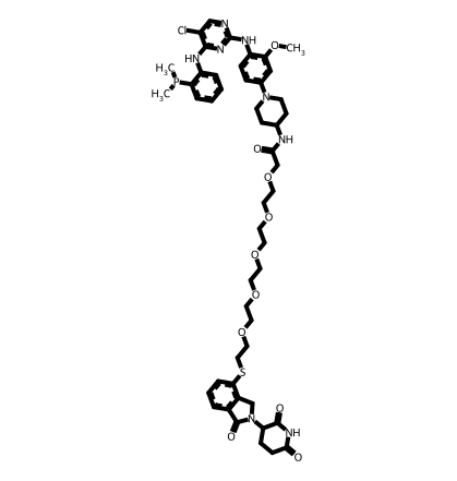 COc1cc(N2CCC(NC(=O)COCCOCCOCCOCCOCCSc3cccc4c3CN(C3CCC(=O)NC3=O)C4=O)CC2)ccc1Nc1ncc(Cl)c(Nc2ccccc2P(C)C)n1